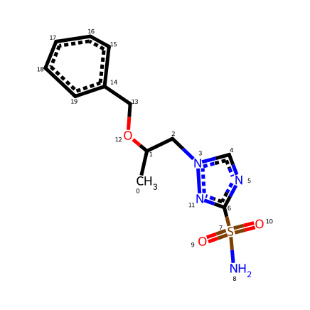 CC(Cn1cnc(S(N)(=O)=O)n1)OCc1ccccc1